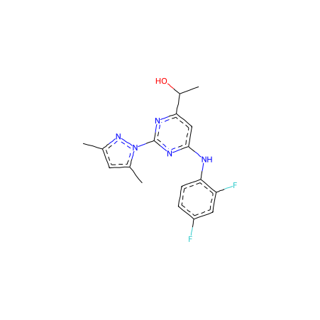 Cc1cc(C)n(-c2nc(Nc3ccc(F)cc3F)cc(C(C)O)n2)n1